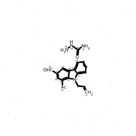 C=CCn1c2ccccc2c2cc(C=O)cc(C(C)=O)c21.NNC(N)=O